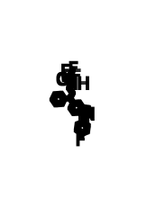 O=C(NCCC(c1ccccc1)c1ccc2c(cnn2-c2ccc(F)cc2)c1)C(F)(F)F